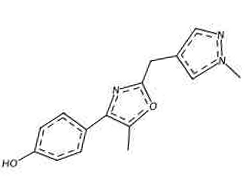 Cc1oc(Cc2cnn(C)c2)nc1-c1ccc(O)cc1